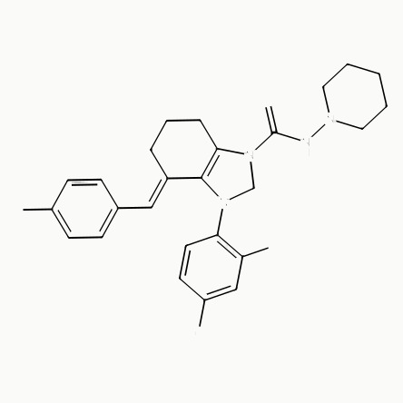 O=C(NN1CCCCC1)N1CN(c2ccc(Cl)cc2Cl)C2=C1CCCC2=Cc1ccc(F)cc1